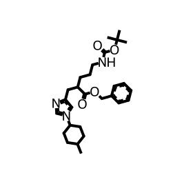 CC1CCC(n2cnc(CC(CCCNC(=O)OC(C)(C)C)C(=O)OCc3ccccc3)c2)CC1